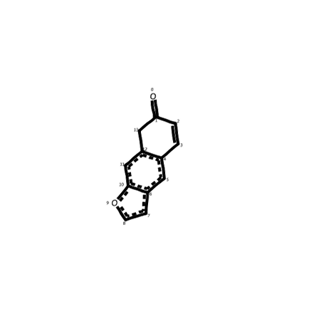 O=C1C=Cc2cc3ccoc3cc2C1